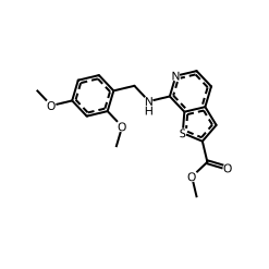 COC(=O)c1cc2ccnc(NCc3ccc(OC)cc3OC)c2s1